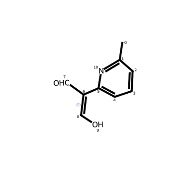 Cc1cccc(/C(C=O)=C\O)n1